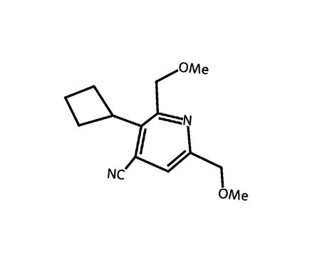 COCc1cc(C#N)c(C2CCC2)c(COC)n1